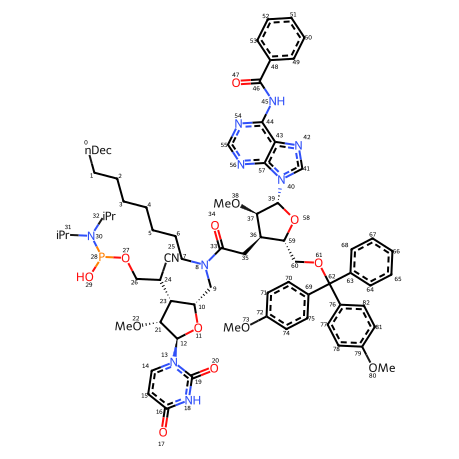 CCCCCCCCCCCCCCCCCN(C[C@@H]1O[C@@H](n2ccc(=O)[nH]c2=O)[C@H](OC)[C@@H]1C(C#N)COP(O)N(C(C)C)C(C)C)C(=O)C[C@H]1[C@@H](OC)[C@H](n2cnc3c(NC(=O)c4ccccc4)ncnc32)O[C@@H]1COC(c1ccccc1)(c1ccc(OC)cc1)c1ccc(OC)cc1